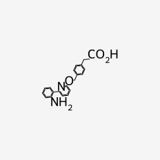 Nc1ccccc1-c1cccc(OCc2ccc(CCC(=O)O)cc2)n1